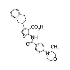 C[C@@H]1COCCN1c1ccc(C(=O)Nc2scc(C3CCc4ccccc4C3)c2C(=O)O)cc1